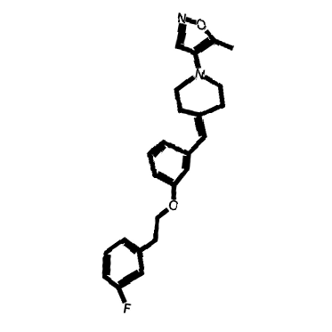 Cc1oncc1N1CCC(=Cc2cccc(OCCc3cccc(F)c3)c2)CC1